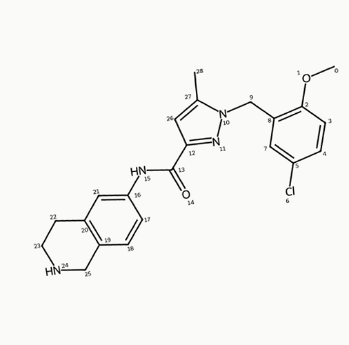 COc1ccc(Cl)cc1Cn1nc(C(=O)Nc2ccc3c(c2)CCNC3)cc1C